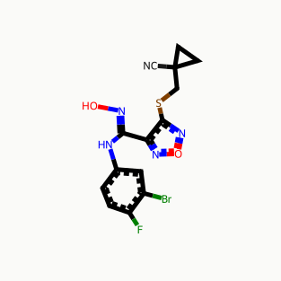 N#CC1(CSc2nonc2/C(=N/O)Nc2ccc(F)c(Br)c2)CC1